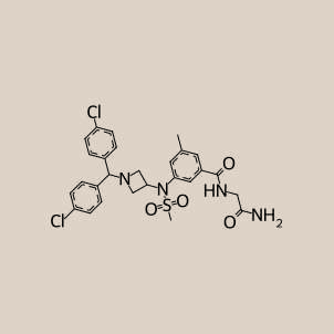 Cc1cc(C(=O)NCC(N)=O)cc(N(C2CN(C(c3ccc(Cl)cc3)c3ccc(Cl)cc3)C2)S(C)(=O)=O)c1